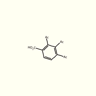 CC(=O)c1ccc(C(=O)O)c(C(C)=O)c1C(C)=O